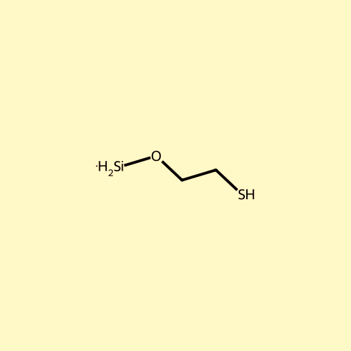 [SiH2]OCCS